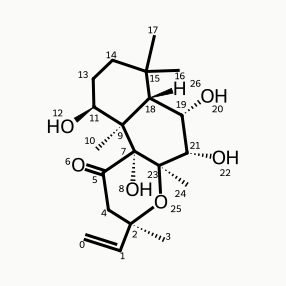 C=C[C@@]1(C)CC(=O)[C@@]2(O)[C@@]3(C)[C@@H](O)CCC(C)(C)[C@@H]3[C@H](O)[C@H](O)[C@@]2(C)O1